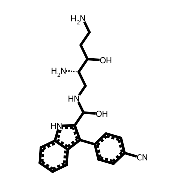 N#Cc1ccc(-c2c(C(O)NC[C@H](N)C(O)CCN)[nH]c3ccccc23)cc1